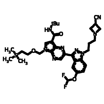 CC(C)(C)NC(=O)c1cn(COCC[Si](C)(C)C)c2ncc(-c3nn(CCCN4CC(C#N)C4)c4ccc(OC(F)F)cc34)nc12